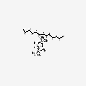 CCCCCCCCCCCCC.OP(O)(O)=S.OP(O)(O)=S